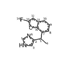 CC(c1c[nH]cn1)c1cccc2cc(F)oc12